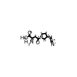 [N-]=[N+]=NC1CCN(C(=O)C[C@H](N)C(=O)O)C1